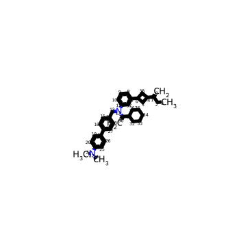 C=C(CC)C1CC(c2cccc(N(Cc3ccc(-c4ccc(N(C)C)cc4)cc3)C(=C)C3CCCCC3)c2)C1